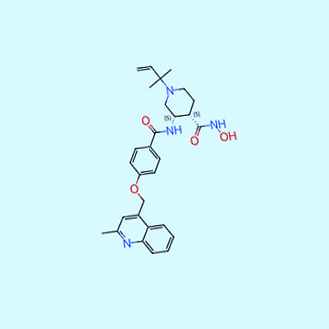 C=CC(C)(C)N1CC[C@H](C(=O)NO)[C@H](NC(=O)c2ccc(OCc3cc(C)nc4ccccc34)cc2)C1